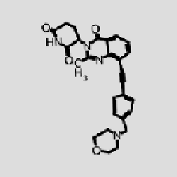 Cc1nc2c(C#Cc3ccc(CN4CCOCC4)cc3)cccc2c(=O)n1C1CCC(=O)NC1=O